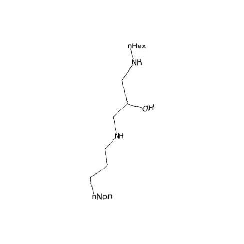 CCCCCCCCCCCCNCC(O)CNCCCCCC